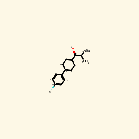 CCCCC(C)C(=O)C1CCC(c2ccc(F)cc2)CC1